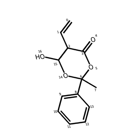 C=CC1C(=O)OC(C)(c2ccccc2)OC1O